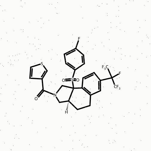 O=C(c1ccsc1)N1C[C@@H]2CCc3cc(C(F)(C(F)(F)F)C(F)(F)F)ccc3C2(S(=O)(=O)c2ccc(F)cc2)C1